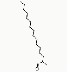 CCCCCCCCCCCCCCC(C)[C]=O